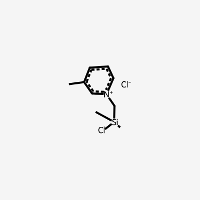 Cc1ccc[n+](C[Si](C)(C)Cl)c1.[Cl-]